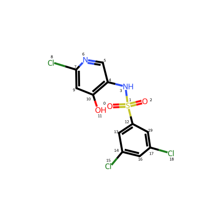 O=S(=O)(Nc1cnc(Cl)cc1O)c1cc(Cl)cc(Cl)c1